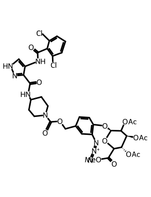 COC(=O)C1O[C@@H](Oc2ccc(COC(=O)N3CCC(NC(=O)c4n[nH]cc4NC(=O)c4c(Cl)cccc4Cl)CC3)cc2N=[N+]=[N-])C(OC(C)=O)[C@@H](OC(C)=O)[C@@H]1OC(C)=O